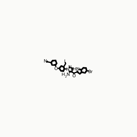 N#Cc1cccc(Oc2ccc(-n3ncc(C(=O)c4cc5cc(Br)ccc5[nH]4)c3N)c(CI)c2)c1